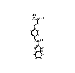 CCOC(O)CCc1ccc(OC(C)c2nc3ccccc3[nH]2)cc1